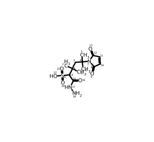 CC(C)(CC(C)(C)N1C(=O)C=CC1=O)C(C(=O)NN)S(=O)(=O)O